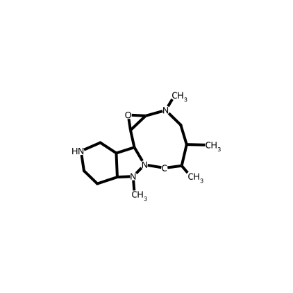 CC1CN(C)C2OC2C2C3CNCCC3N(C)N2CC1C